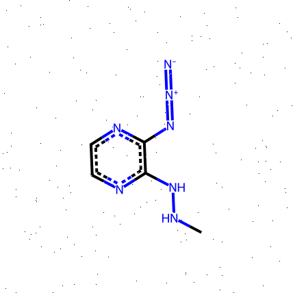 CNNc1nccnc1N=[N+]=[N-]